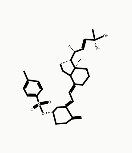 C=C1CC[C@H](OS(=O)(=O)c2ccc(C)cc2)CC1=CC=C1CCC[C@@]2(C)C1CC[C@@H]2[C@H](C)/C=C/[C@@](C)(O)C(C)C